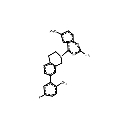 COc1ccc2nc(C)nc(N3CCc4ncc(-c5cc(F)ccc5C)cc4C3)c2c1